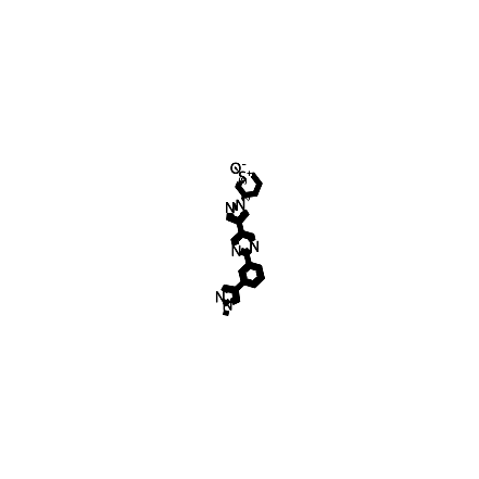 Cn1cc(-c2cccc(-c3ncc(-c4cnn([C@@H]5CCC[S@@+]([O-])C5)c4)cn3)c2)cn1